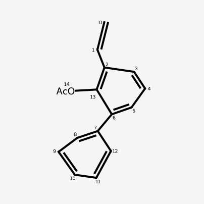 C=Cc1cccc(-c2ccccc2)c1OC(C)=O